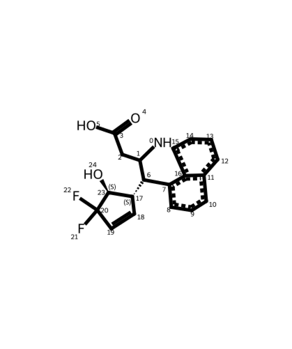 NC(CC(=O)O)C(c1cccc2ccccc12)[C@@H]1C=CC(F)(F)[C@H]1O